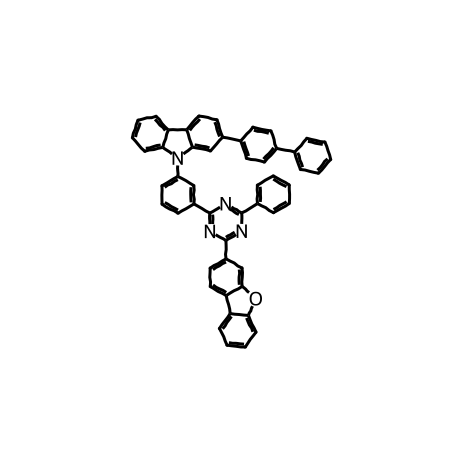 c1ccc(-c2ccc(-c3ccc4c5ccccc5n(-c5cccc(-c6nc(-c7ccccc7)nc(-c7ccc8c(c7)oc7ccccc78)n6)c5)c4c3)cc2)cc1